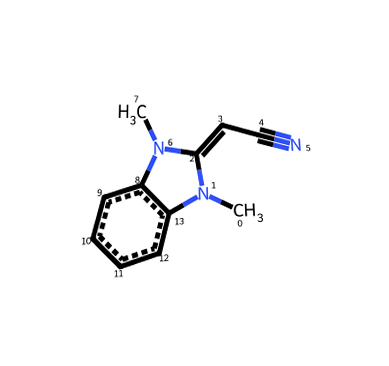 CN1C(=CC#N)N(C)c2ccccc21